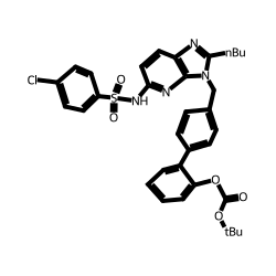 CCCCc1nc2ccc(NS(=O)(=O)c3ccc(Cl)cc3)nc2n1Cc1ccc(-c2ccccc2OC(=O)OC(C)(C)C)cc1